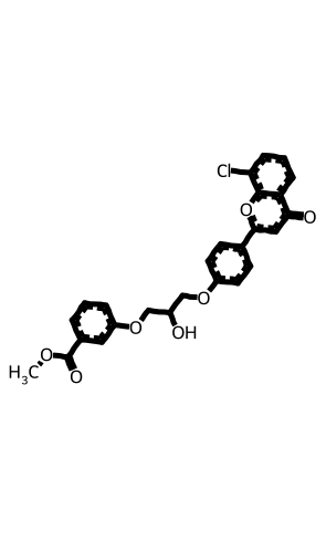 COC(=O)c1cccc(OCC(O)COc2ccc(-c3cc(=O)c4cccc(Cl)c4o3)cc2)c1